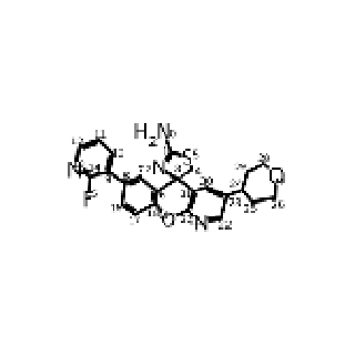 NC1=N[C@@]2(CS1)c1cc(-c3cccnc3F)ccc1Oc1ncc(C3CCOCC3)cc12